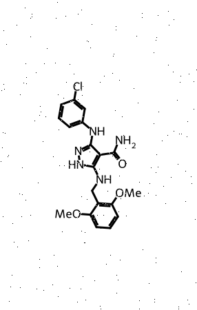 COc1cccc(OC)c1CNc1[nH]nc(Nc2cccc(Cl)c2)c1C(N)=O